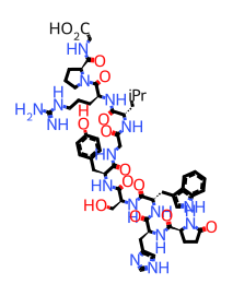 CC(C)C[C@H](NC(=O)CNC(=O)[C@H](Cc1ccc(O)cc1)NC(=O)[C@H](CO)NC(=O)[C@H](Cc1c[nH]c2ccccc12)NC(=O)[C@H](Cc1c[nH]cn1)NC(=O)[C@@H]1CCC(=O)N1)C(=O)N[C@@H](CCCNC(=N)N)C(=O)N1CCC[C@H]1C(=O)NCC(=O)O